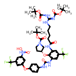 CC(C)(C)OC(=O)N=C(NCCCCC(=O)Nc1cc(C(F)(F)F)cc(NC(=O)Nc2ccc(Oc3cc([NH+]([O-])O)cc(C(F)(F)F)c3)cc2)c1O[C@@H]1CCN(C(=O)OC(C)(C)C)C1)NC(=O)OC(C)(C)C